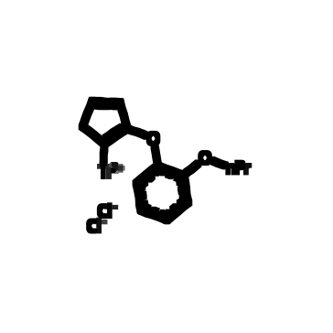 CCCOc1ccccc1OC1=[C]([Ti+2])CC=C1.[Cl-].[Cl-]